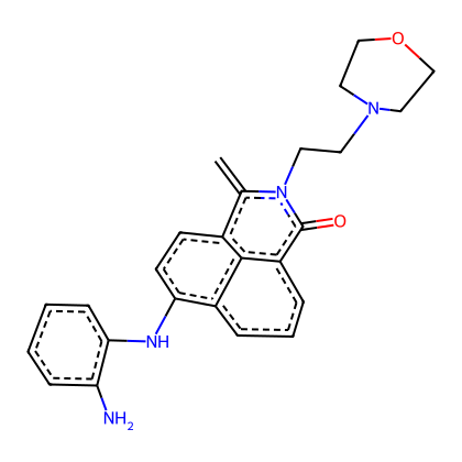 C=c1c2ccc(Nc3ccccc3N)c3cccc(c(=O)n1CCN1CCOCC1)c32